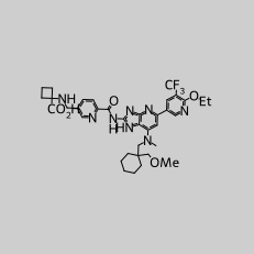 CCOc1ncc(-c2cc(N(C)CC3(COC)CCCCC3)c3[nH]c(NC(=O)c4ccc(CNC5(C(=O)O)CCC5)cn4)nc3n2)cc1C(F)(F)F